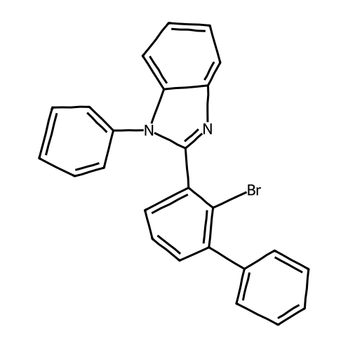 Brc1c(-c2ccccc2)cccc1-c1nc2ccccc2n1-c1ccccc1